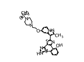 Cc1nn2ccc(OCCN3CCN(S(C)(=O)=O)CC3)cc2c1-c1nc(-c2c(O)cccc2F)c(-c2nc[nH]n2)s1